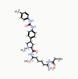 Cc1ccc(NC(=O)Nc2ccc(C3CC(C(=O)NC(CCCCC(NC(=O)CC(C)(C)C)C(=O)O)C(=O)O)N(C)C3)cc2)cc1